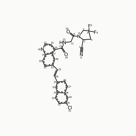 N#CC1CC(F)(F)CN1C(=O)CNC(=O)c1ccnc2ccc(C=Cc3ccc4cc(Cl)ccc4c3)cc12